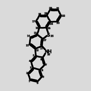 c1ccc2cc3c(cc2c1)[nH]c1c3ccc2c3ccc4ccccc4c3sc21